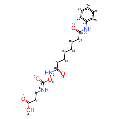 O=C(O)CCNC(=O)ONC(=O)CCCCCCC(=O)Nc1ccccc1